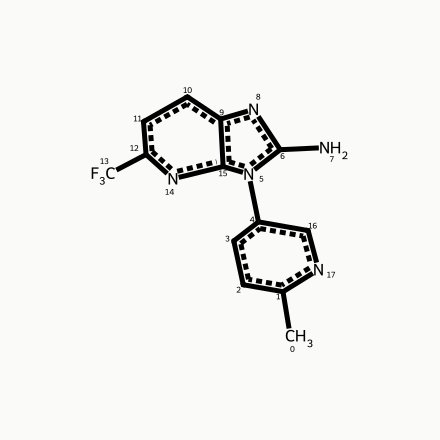 Cc1ccc(-n2c(N)nc3ccc(C(F)(F)F)nc32)cn1